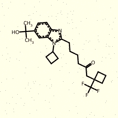 CC(C)(O)c1ccc2nc(CCCCC(=O)CC3(C(F)(F)F)CCC3)n(C3CCC3)c2c1